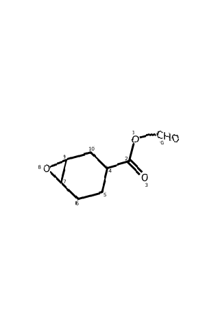 O=COC(=O)C1CCC2OC2C1